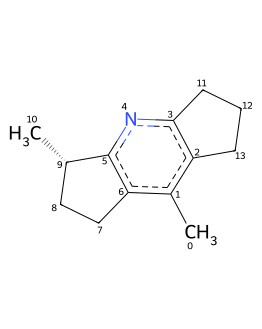 Cc1c2c(nc3c1CC[C@@H]3C)CCC2